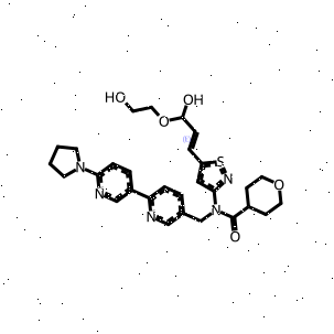 O=C(C1CCOCC1)N(Cc1ccc(-c2ccc(N3CCCC3)nc2)nc1)c1cc(/C=C/C(O)OCCO)sn1